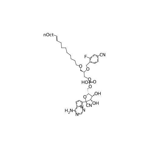 CCCCCCCC/C=C/CCCCCCCCOC[C@H](COP(=O)(O)OC[C@H]1O[C@@](C#N)(c2ccc3c(N)ncnn23)[C@H](O)[C@@H]1O)OCc1ccc(C#N)cc1F